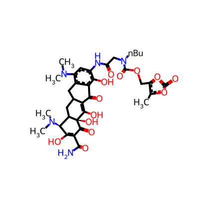 CCCCN(CC(=O)Nc1cc(N(C)C)c2c(c1O)C(=O)C1=C(O)[C@]3(O)C(=O)C(C(N)=O)=C(O)[C@@H](N(C)C)C3CC1C2)C(=O)OCc1oc(=O)oc1C